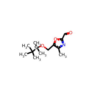 Cc1nc(C=O)oc1CO[Si](C)(C)C(C)(C)C